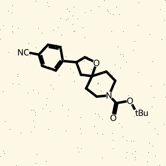 CC(C)(C)OC(=O)N1CCC2(CC1)CC(c1ccc(C#N)cc1)CO2